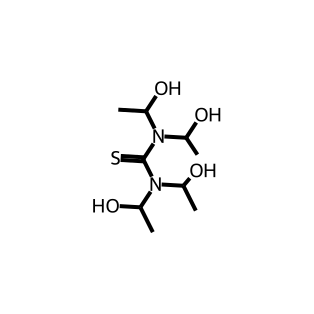 CC(O)N(C(=S)N(C(C)O)C(C)O)C(C)O